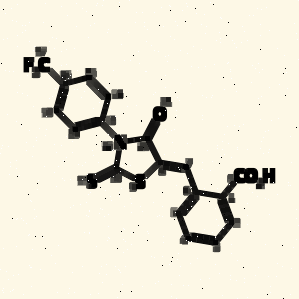 O=C(O)c1ccccc1C=C1SC(=S)N(c2ccc(C(F)(F)F)cc2)C1=O